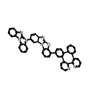 C1=CC2N=C3Oc4c(-c5ccc6c(c5)-c5cccnc5-c5ncccc5-c5ccccc5-6)cccc4N3C2C=C1n1c2ccccc2n2c3ccccc3nc12